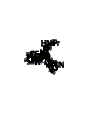 C=CC(=O)N1CCN(c2nc(N3CC(NC(C)C)C3)nc(C)c2/C=N\N(C=O)c2cccc(C)c2C(F)(F)F)CC1CC#N